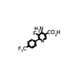 Nc1c(C(=O)O)cnc(-c2ccc(C(F)(F)F)cc2)c1F